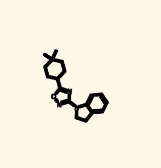 CC1(C)CCC(c2nc(N3CCc4ccccc43)no2)CC1